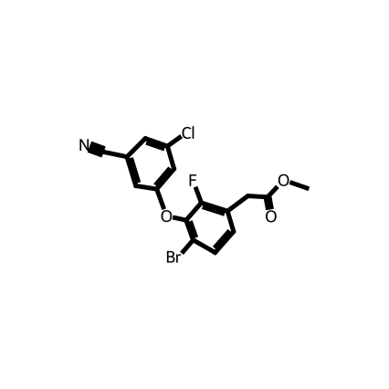 COC(=O)Cc1ccc(Br)c(Oc2cc(Cl)cc(C#N)c2)c1F